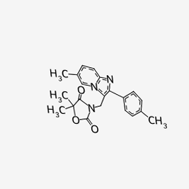 Cc1ccc(-c2nc3ccc(C)cn3c2CN2C(=O)OC(C)(C)C2=O)cc1